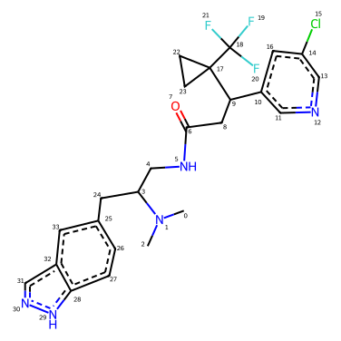 CN(C)C(CNC(=O)CC(c1cncc(Cl)c1)C1(C(F)(F)F)CC1)Cc1ccc2[nH]ncc2c1